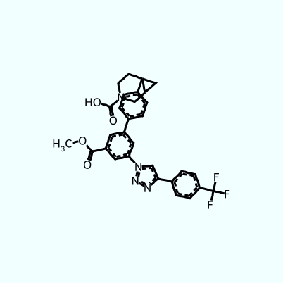 COC(=O)c1cc(-c2ccc(C34CCN(C(=O)O)CC3C4)cc2)cc(-n2cc(-c3ccc(C(F)(F)F)cc3)nn2)c1